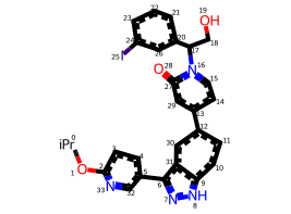 CC(C)Oc1ccc(-c2n[nH]c3ccc(-c4ccn(C(CO)c5cccc(I)c5)c(=O)c4)cc23)cn1